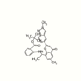 Cc1cc(C(C)Nc2ccccc2C(=O)OC(C)(C)C)c2oc(-c3ccc4nn(C)cc4c3)cc(=O)c2c1